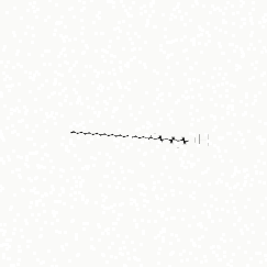 C=CCCCCCCCCCCCCCCCCCCCCOCCOCCOCCO